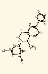 CC1c2cnc(-c3cscn3)nc2CCN1c1cc(I)cc(F)n1